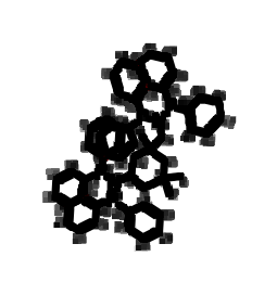 CC1(C)CC(N(P(c2ccccc2)c2ccccc2)P(c2ccccc2)c2ccccc2)CC(C)(CN(P(c2ccccc2)c2ccccc2)P(c2ccccc2)c2ccccc2)C1